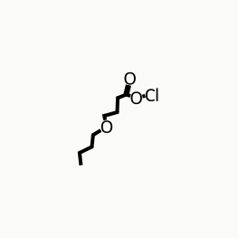 CCCCOCCCC(=O)OCl